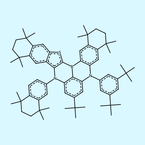 CC(C)(C)c1cc(N2c3cc4c(cc3B3c5sc6cc7c(cc6c5N(c5ccc6c(c5)C(C)(C)CCC6(C)C)c5cc(C(C)(C)C)cc2c53)C(C)(C)CCC7(C)C)C(C)(C)CCC4(C)C)cc(C(C)(C)C)c1